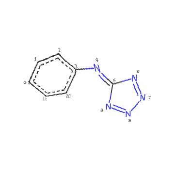 [c]1ccc(N=C2N=NN=N2)cc1